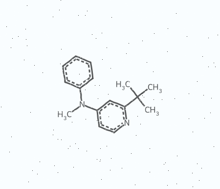 CN(c1ccccc1)c1ccnc(C(C)(C)C)c1